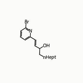 CCCCCCCCC(O)/C=C/c1cccc(Br)n1